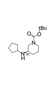 CC(C)(C)OC(=O)N1CCC[C@@H](NC2CCCC2)C1